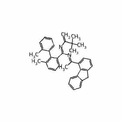 C=C(/N=C(\N=C(/C)c1cccc2c1-c1ccccc1C2)c1cccc(C)c1-c1ccccc1C)C(C)(C)C